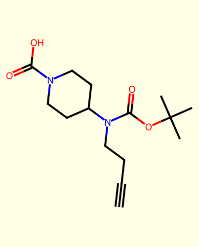 C#CCCN(C(=O)OC(C)(C)C)C1CCN(C(=O)O)CC1